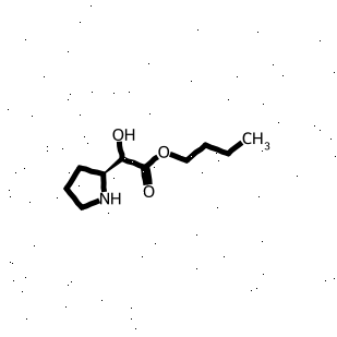 CCCCOC(=O)C(O)[C@@H]1CCCN1